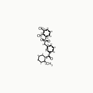 CC1CCCCN1C(=O)c1cccc(CS(=O)(=O)c2cccc(Cl)c2Cl)n1